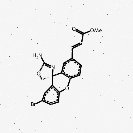 COC(=O)/C=C/c1ccc2c(c1)[C@@]1(COC(N)=N1)c1cc(Br)ccc1O2